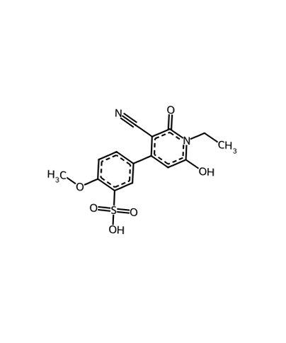 CCn1c(O)cc(-c2ccc(OC)c(S(=O)(=O)O)c2)c(C#N)c1=O